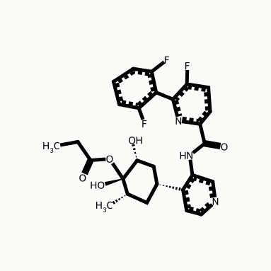 CCC(=O)O[C@]1(O)[C@H](O)C[C@H](c2ccncc2NC(=O)c2ccc(F)c(-c3c(F)cccc3F)n2)C[C@@H]1C